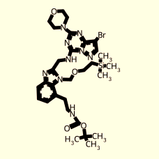 CC(C)(C)OC(=O)NCCc1cccc2nc(CNc3nc(N4CCOCC4)nc4c(Br)cnn34)n(COCC[Si](C)(C)C)c12